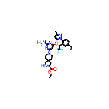 CCOC(=O)[C@@H]1CC2(CCN(c3cc(O[C@H](c4cc(CC)ccc4-n4ccc(C)n4)C(F)(F)F)nc(N)n3)CC2)CN1